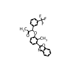 CC(=O)C(Oc1cccc(-c2nc3ccccc3o2)c1C)c1cccc(C(F)(F)F)c1